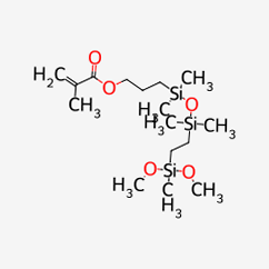 C=C(C)C(=O)OCCC[Si](C)(C)O[Si](C)(C)CC[Si](C)(OC)OC